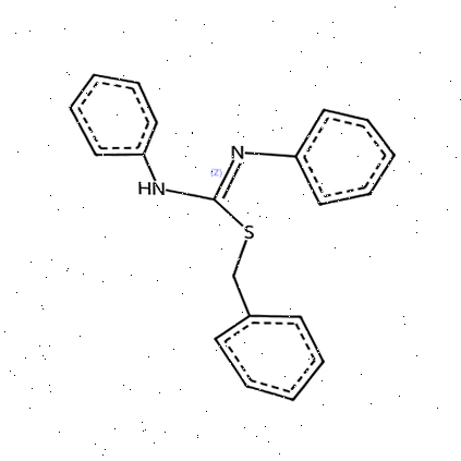 c1ccc(CS/C(=N\c2ccccc2)Nc2ccccc2)cc1